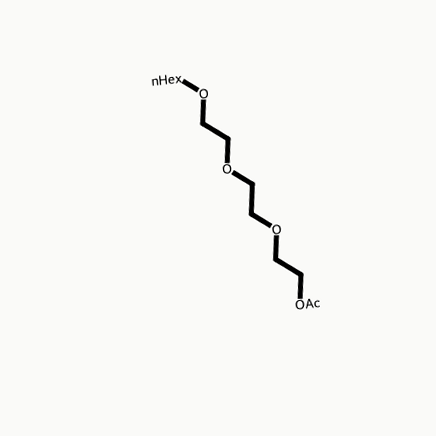 CCCCCCOCCOCCOCCOC(C)=O